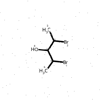 CC(Br)C(O)C(C)Br